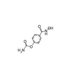 NC(=O)Oc1ccc(C(=O)NO)cc1